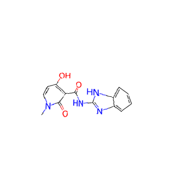 Cn1ccc(O)c(C(=O)Nc2nc3ccccc3[nH]2)c1=O